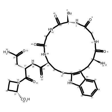 CC[C@H](C)[C@@H]1NC(=O)CNC(=O)[C@@H](N)Cc2c([nH]c3ccccc23)SC[C@@H](C(=O)N[C@@H](CC(N)=O)C(=O)N2CC[C@H]2C(=O)O)NC(=O)CNC1=O